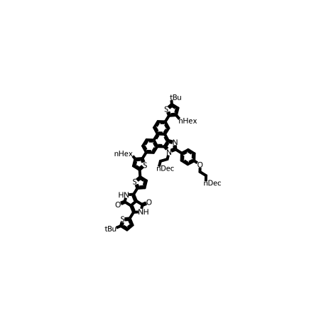 CCCCCCCCCCCCOc1ccc(-c2nc3c4cc(-c5sc(C(C)(C)C)cc5CCCCCC)ccc4c4ccc(-c5sc(-c6ccc(C7=C8C(=O)NC(c9ccc(C(C)(C)C)s9)=C8C(=O)N7)s6)cc5CCCCCC)cc4c3n2CCCCCCCCCCCC)cc1